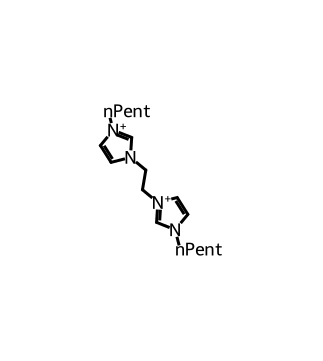 CCCCCn1cc[n+](CCn2cc[n+](CCCCC)c2)c1